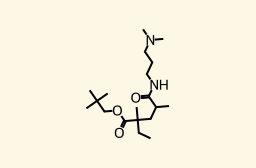 CCC(C)(CC(C)C(=O)NCCCN(C)C)C(=O)OCC(C)(C)C